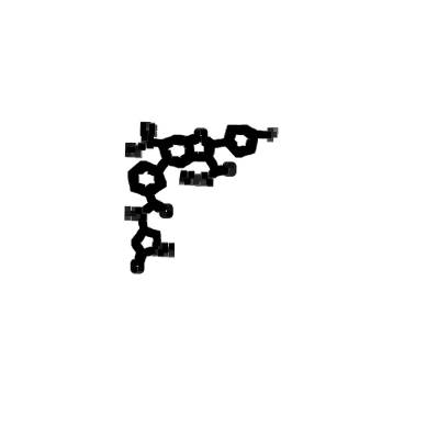 CCN(CC)c1cc2oc(-c3ccc(F)cc3)c(C(=O)NC)c2cc1-c1cccc(C(=O)NC2CNC(=O)C2)c1